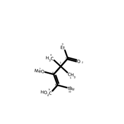 CCC(=O)C(C)(C)C(OC)=C(C(=O)O)C(C)(C)C